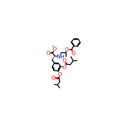 COC(=O)[C@H](Cc1ccc(OC(=O)CC(C)C)c(OC(=O)CC(C)C)c1)NCC(C)OC(=O)c1ccccc1